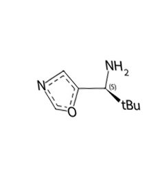 CC(C)(C)[C@H](N)c1cnco1